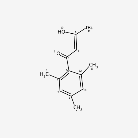 Cc1cc(C)c(C(=O)/C=C(\O)C(C)(C)C)c(C)c1